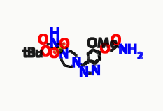 COc1cc2c(N3CCCN(S(=O)(=O)NC(=O)OC(C)(C)C)CC3)ncnc2cc1OCC(N)=O